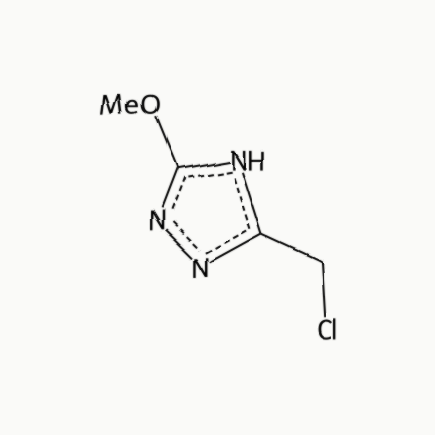 COc1nnc(CCl)[nH]1